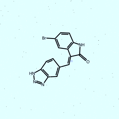 O=C1Nc2ccc(Br)cc2/C1=C\c1ccc2[nH]nnc2c1